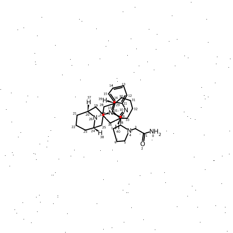 NC(=O)CN1CCC[C@H]1c1nc2ccccc2n1[C@@H]1C[C@H]2CCC[C@@H](C1)N2[C@@H]1C[C@@H]2CCCC[C@@H](C2)C1